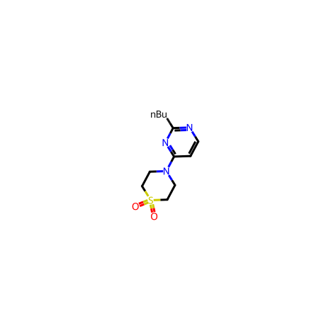 CCCCc1nccc(N2CCS(=O)(=O)CC2)n1